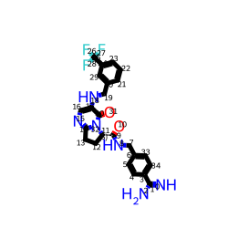 N=C(N)c1ccc(CNC(=O)[C@@H]2CCc3ncc(NCc4cccc(C(F)(F)F)c4)c(=O)n32)cc1